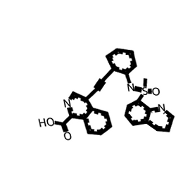 CS(=O)(=Nc1ccccc1C#Cc1cnc(C(=O)O)c2ccccc12)c1cccc2cccnc12